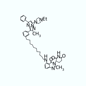 CCN1CCN(c2cc(-c3ccccc3)nc3c(-c4cccc(CCCCCCCCCCCNc5cccc6nc(C)n(C7CCC(=O)NC7=O)c(=O)c56)c4)c(C)nn23)CC1